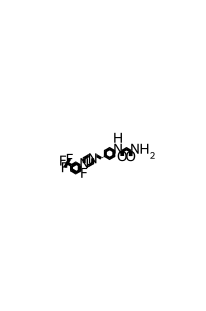 NC(=O)CC(=O)N[C@H]1CC[C@H](CCN2CCN(c3cc(C(F)(F)F)ccc3F)CC2)CC1